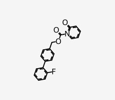 O=C(OCc1ccc(-c2ccccc2F)cc1)n1ccccc1=O